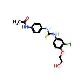 CC(=O)Nc1ccc(NC(=S)Nc2ccc(OCCO)c(Cl)c2)cc1